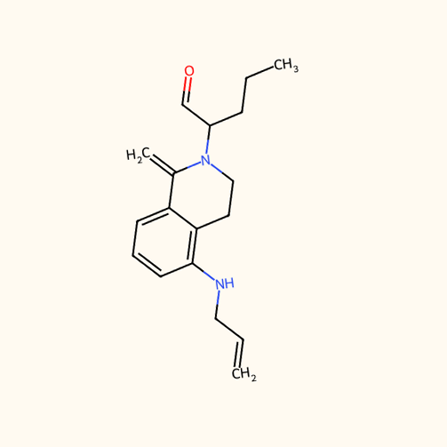 C=CCNc1cccc2c1CCN(C(C=O)CCC)C2=C